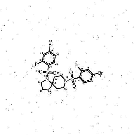 O=S(=O)(c1ccc(Br)cc1F)N1CCC2(CC1)OCCN2S(=O)(=O)c1ccc(Br)cc1F